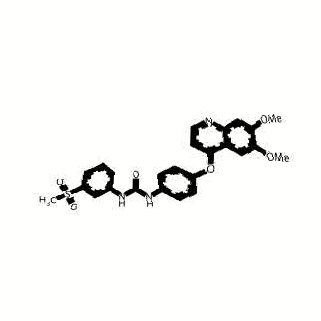 COc1cc2nccc(Oc3ccc(NC(=O)Nc4cccc(S(C)(=O)=O)c4)cc3)c2cc1OC